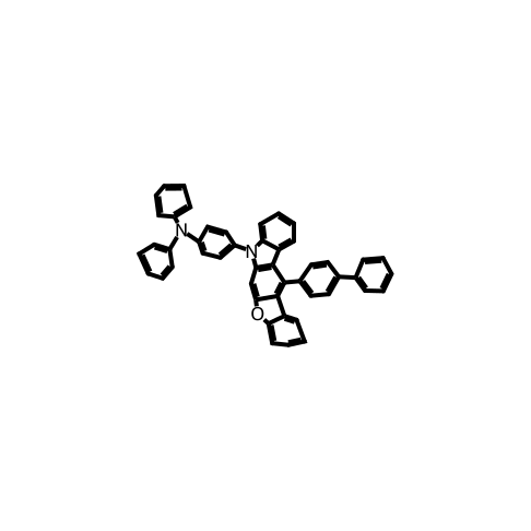 c1ccc(-c2ccc(-c3c4c(cc5c3c3ccccc3n5-c3ccc(N(c5ccccc5)c5ccccc5)cc3)oc3ccccc34)cc2)cc1